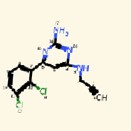 C#CCNc1cc(-c2cccc(Cl)c2Cl)nc(N)n1